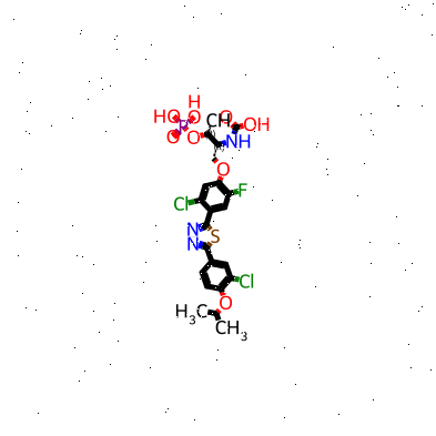 CC(C)Oc1ccc(-c2nnc(-c3cc(F)c(OC[C@@H](NC(=O)O)[C@@H](C)OP(=O)(O)O)cc3Cl)s2)cc1Cl